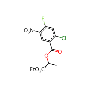 CCOC(=O)[C@H](C)OC(=O)c1cc([N+](=O)[O-])c(F)cc1Cl